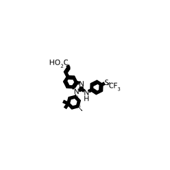 C[C@H]1C[C@@H](n2c(Nc3ccc(SC(F)(F)F)cc3)nc3cc(C=CC(=O)O)ccc32)CC(C)(C)C1